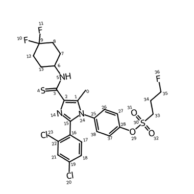 Cc1c(C(=S)NC2CCC(F)(F)CC2)nc(-c2ccc(Cl)cc2Cl)n1-c1ccc(OS(=O)(=O)CCCF)cc1